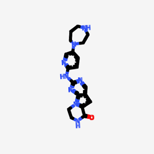 O=C1NCCn2c1cc1cnc(Nc3ccc(N4CCCNCC4)cn3)nc12